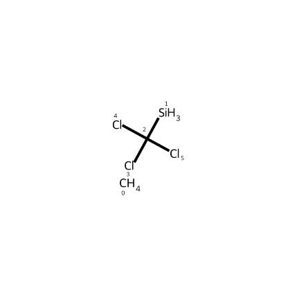 C.[SiH3]C(Cl)(Cl)Cl